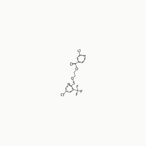 O=C(OCCOSc1ncc(Cl)cc1C(F)(F)F)c1cccc(Cl)c1